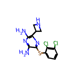 Nc1nc(N)c(C2CNC2)nc1Sc1cccc(Cl)c1Cl